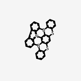 c1ccc2c(c1)Sc1cc3c4c5c1B2c1cccc2c6cccc(c6n-5c12)B4c1ccccc1S3